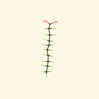 OC(O)C(F)(F)C(F)(F)C(F)(F)C(F)(F)C(F)(F)C(F)(F)C(F)(F)C(F)(F)C(F)(F)F